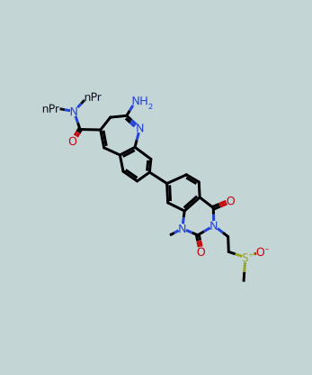 CCCN(CCC)C(=O)C1=Cc2ccc(-c3ccc4c(=O)n(CC[S+](C)[O-])c(=O)n(C)c4c3)cc2N=C(N)C1